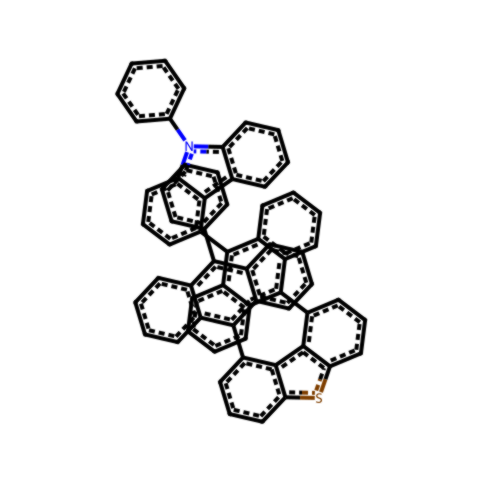 c1ccc(-c2c3ccccc3c(-c3cccc4sc5cccc(-c6c7ccccc7c(-c7cccc8c7c7ccccc7n8-c7ccccc7)c7ccccc67)c5c34)c3ccccc23)cc1